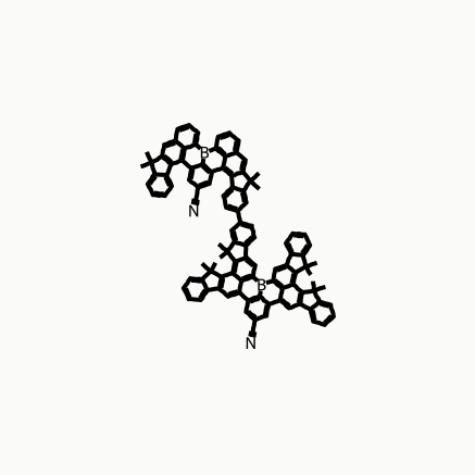 CC1(C)c2ccccc2-c2c1cc1cccc3c1c2-c1cc(C#N)cc2c1B3c1cccc3cc4c(c-2c13)-c1ccc(-c2ccc3c(c2)C(C)(C)c2c-3cc3c5c(cc6c(c25)C(C)(C)c2ccccc2-6)-c2cc(C#N)cc5c2B3c2cc3c(c6c7c(cc-5c26)-c2ccccc2C7(C)C)C(C)(C)c2ccccc2-3)cc1C4(C)C